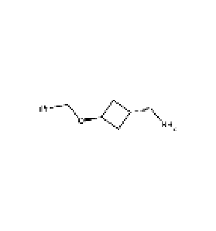 CC(C)CO[C@H]1C[C@H](CN)C1